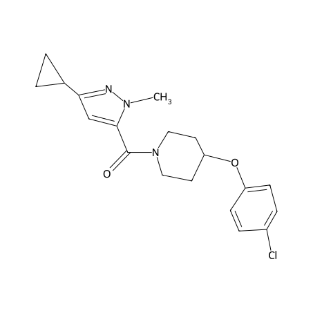 Cn1nc(C2CC2)cc1C(=O)N1CCC(Oc2ccc(Cl)cc2)CC1